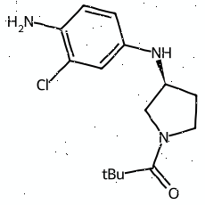 CC(C)(C)C(=O)N1CC[C@H](Nc2ccc(N)c(Cl)c2)C1